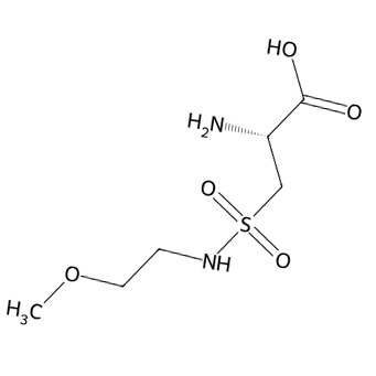 COCCNS(=O)(=O)C[C@H](N)C(=O)O